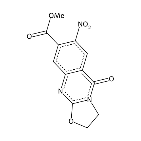 COC(=O)c1cc2nc3n(c(=O)c2cc1[N+](=O)[O-])CCO3